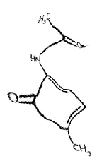 CC(=O)NC1=CC=C(C)CC1=O